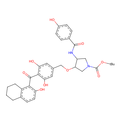 CC(C)(C)OC(=O)N1CC(NC(=O)c2ccc(O)cc2)C(OCc2cc(O)c(C(=O)c3c(O)ccc4c3CCCC4)c(O)c2)C1